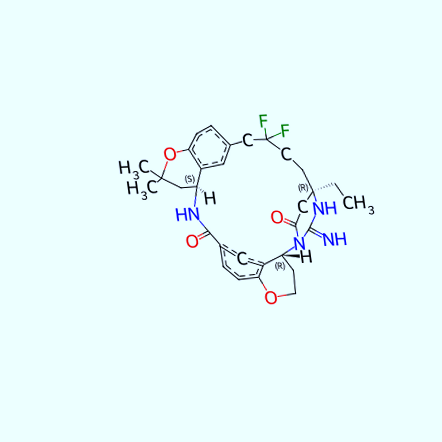 CC[C@]12CCC(F)(F)Cc3ccc4c(c3)[C@H](CC(C)(C)O4)NC(=O)c3ccc4c(c3)[C@@H](CCO4)N(C(=N)N1)C(=O)C2